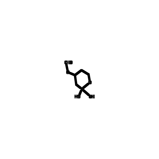 O=COC1CCOS(O)(O)C1